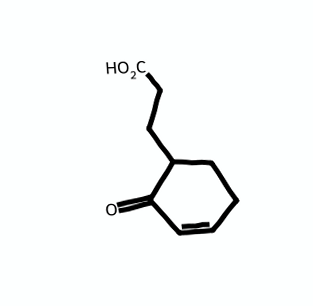 O=C(O)CCC1CCC=CC1=O